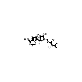 CC(C)[C@H](N)C(=O)OC[C@H]1O[C@@](C)(c2ccc3c(N)ncnn23)[C@H](O)[C@@H]1O